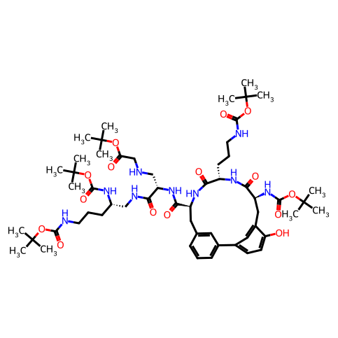 CC(C)(C)OC(=O)CNC[C@H](NC(=O)[C@@H]1Cc2cccc(c2)-c2ccc(O)c(c2)C[C@H](NC(=O)OC(C)(C)C)C(=O)N[C@@H](CCCNC(=O)OC(C)(C)C)C(=O)N1)C(=O)NC[C@H](CCCNC(=O)OC(C)(C)C)NC(=O)OC(C)(C)C